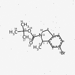 CC1c2cc(Br)ccc2CCN1C(=O)OC(C)(C)C